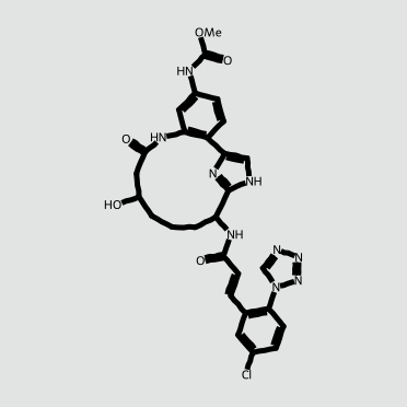 COC(=O)Nc1ccc2c(c1)NC(=O)CC(O)CCCC(NC(=O)C=Cc1cc(Cl)ccc1-n1cnnn1)c1nc-2c[nH]1